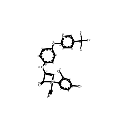 N#C[N+]1(c2ccc(Cl)cc2Cl)C=C(Oc2ccc(Oc3ccc(C(F)(F)F)cn3)cc2)C1=O